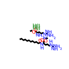 CCCCCCCCCCCC(=O)NC(CCCNC(=N)N)C(=O)OCC.CCOC(=O)C(N)CCCNC(=N)N.Cl.Cl.Cl